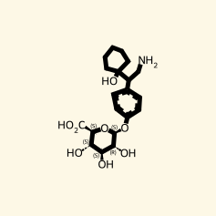 NCC(c1ccc(O[C@@H]2O[C@H](C(=O)O)[C@@H](O)[C@H](O)[C@H]2O)cc1)C1(O)CCCCC1